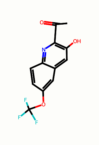 CC(=O)c1nc2ccc(OC(F)(F)F)cc2cc1O